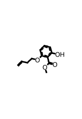 C=CCCOc1cccc(O)c1C(=O)OC